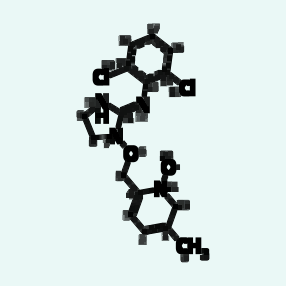 CC1=CC=C(CON2CCNC2=Nc2c(Cl)cccc2Cl)N([O])C1